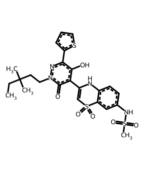 CCC(C)(C)CCn1nc(-c2cccs2)c(O)c(C2=CS(=O)(=O)c3cc(NS(C)(=O)=O)ccc3N2)c1=O